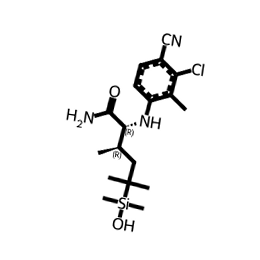 Cc1c(N[C@@H](C(N)=O)[C@H](C)CC(C)(C)[Si](C)(C)O)ccc(C#N)c1Cl